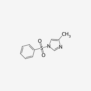 Cc1cn(S(=O)(=O)c2ccccc2)cn1